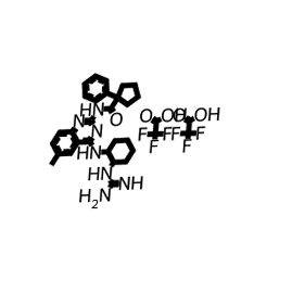 Cc1ccc2nc(NC(=O)C3(c4ccccc4)CCCC3)nc(NC3CCCCC3NC(=N)N)c2c1.O=C(O)C(F)(F)F.O=C(O)C(F)(F)F